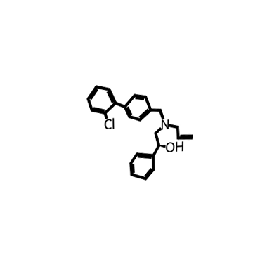 C=CCN(Cc1ccc(-c2ccccc2Cl)cc1)C[C@@H](O)c1ccccc1